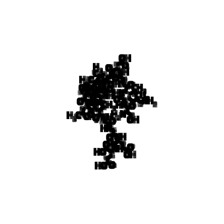 CC(C)C[C@H](NC(=O)[C@H](CCCCN)NC(=O)[C@@H](N)CO)C(=O)NCC(=O)N[C@@H](CC(=O)O)C(=O)N[C@@H](CC(C)C)C(=O)N[C@H](C(=O)N[C@H](C(=O)N[C@H](C(=O)N[C@@H](CO)C(=O)N[C@@H](CC(C)C)C(=O)N1CCC[C@H]1C(=O)NCC(=O)NCC(=O)N[C@@H](CCC(=O)O)C(=O)N[C@@H](CCC(=O)O)C(=O)O)C(C)C)[C@@H](C)O)C(C)C